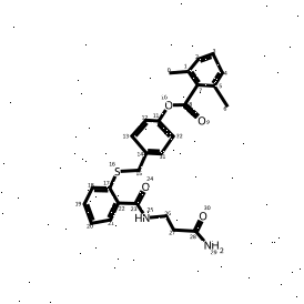 Cc1cccc(C)c1C(=O)Oc1ccc(CSc2ccccc2C(=O)NCCC(N)=O)cc1